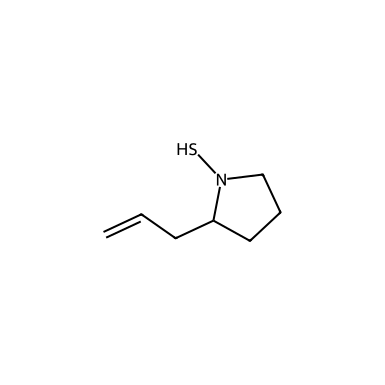 C=CCC1CCCN1S